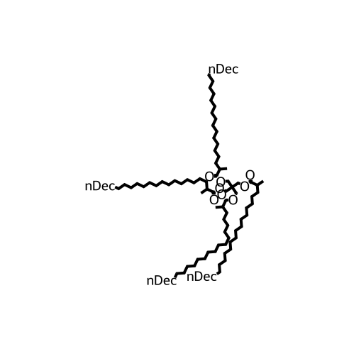 CCCCCCCCCCCCCCCCCCCCCCCCCC(C)C(=O)OCC(COC(=O)C(C)CCCCCCCCCCCCCCCCCCCCCCCCC)(COC(=O)C(C)CCCCCCCCCCCCCCCCCCCCCCCCC)COC(=O)C(C)CCCCCCCCCCCCCCCCCCCCCCCCC